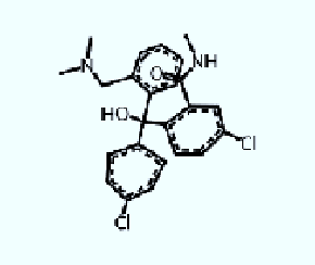 CNC(=O)c1cc(Cl)ccc1C(O)(c1ccc(Cl)cc1)c1ccccc1CN(C)C